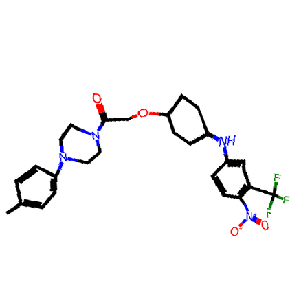 Cc1ccc(N2CCN(C(=O)COC3CCC(Nc4ccc([N+](=O)[O-])c(C(F)(F)F)c4)CC3)CC2)cc1